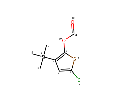 C[Si](C)(C)c1cc(Cl)sc1OC=O